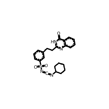 O=c1[nH]c(CCc2cccc(S(=O)(=O)N=C=NC3CCCCC3)c2)nc2ccccc12